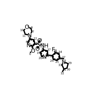 COc1ncc(N2CCOCC2)cc1S(=O)(=O)Nc1ccnc(-c2ccc(CN3CCC(C)C3)cc2F)c1